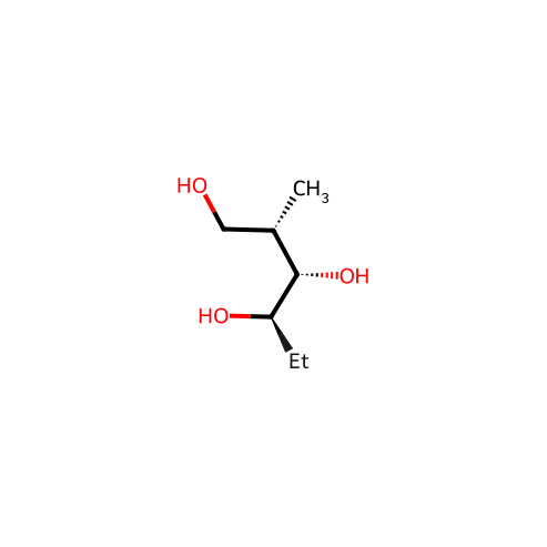 CC[C@@H](O)[C@@H](O)[C@@H](C)CO